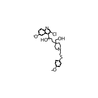 COc1ccc(SCCN2CCC(CO)(CC[C@@H](O)c3c(Cl)cnc4ccc(OC)cc34)CC2)cc1